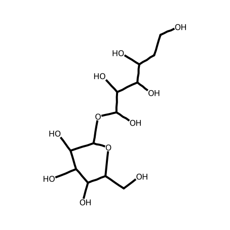 OCCC(O)C(O)C(O)C(O)OC1OC(CO)C(O)C(O)C1O